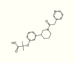 CC(C)(Oc1cccc(C2CCCN(C(=O)Cc3cccnc3)C2)c1)C(=O)O